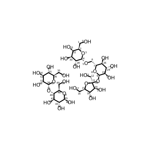 OC[C@H]1O[C@H](OC[C@H]2O[C@H](O[C@]3(CO)O[C@H](CO)[C@@H](O)[C@@H]3O)[C@H](O)[C@@H](O)[C@@H]2O)[C@H](O)[C@@H](O)[C@H]1O.OC[C@H]1O[C@H](O[C@H]2[C@H](O)[C@@H](O)[C@H](O)O[C@@H]2CO)[C@H](O)[C@@H](O)[C@@H]1O